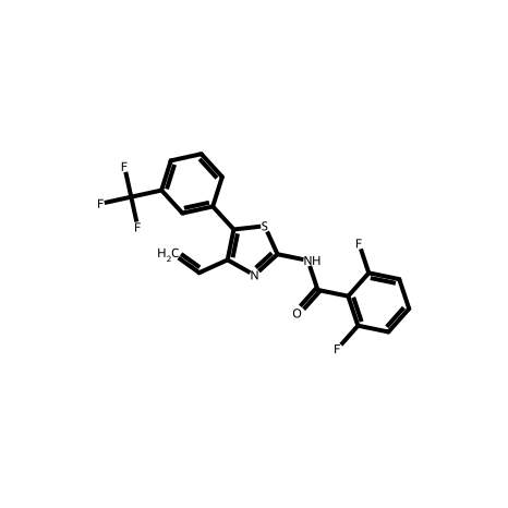 C=Cc1nc(NC(=O)c2c(F)cccc2F)sc1-c1cccc(C(F)(F)F)c1